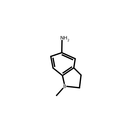 CB1CCc2cc(N)ccc21